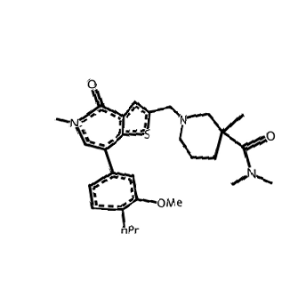 CCCc1ccc(-c2cn(C)c(=O)c3cc(CN4CCCC(C)(C(=O)N(C)C)C4)sc23)cc1OC